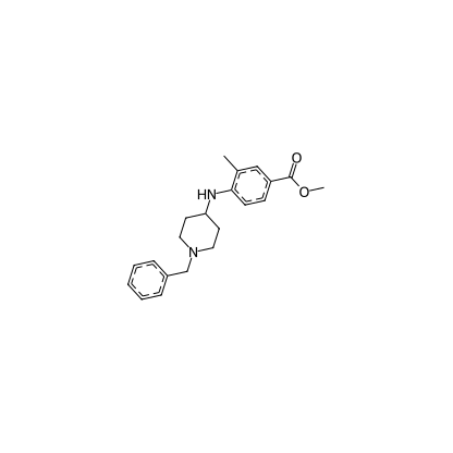 COC(=O)c1ccc(NC2CCN(Cc3ccccc3)CC2)c(C)c1